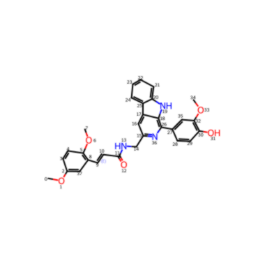 COc1ccc(OC)c(/C=C/C(=O)NCc2cc3c([nH]c4ccccc43)c(-c3ccc(O)c(OC)c3)n2)c1